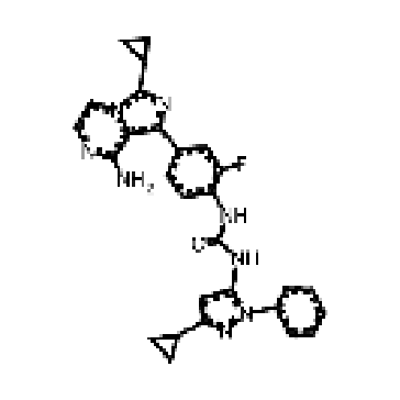 Nc1nccn2c(C3CC3)nc(-c3ccc(NC(=O)Nc4cc(C5CC5)nn4-c4ccccc4)c(F)c3)c12